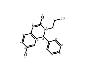 ClCCN1C(Cl)=Nc2ccc(Cl)cc2C1c1ccccc1